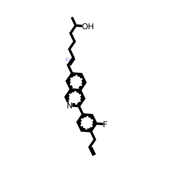 C=CCc1ccc(-c2cc3ccc(/C=C/CCCC(C)O)cc3cn2)cc1F